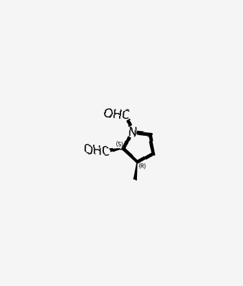 C[C@@H]1CCN(C=O)[C@@H]1C=O